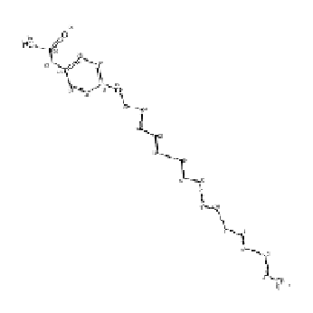 CCCCCCCCCCCCCCCCOc1ccc(CC(=O)O)cc1